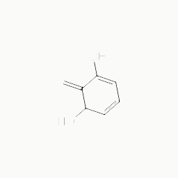 C=C1C(O)=CC=CC1O